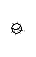 CNC1CC2CCCCC1CC2